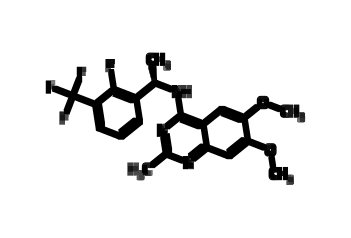 COc1cc2nc(C)nc(N[C@H](C)c3cccc(C(F)(F)F)c3F)c2cc1OC